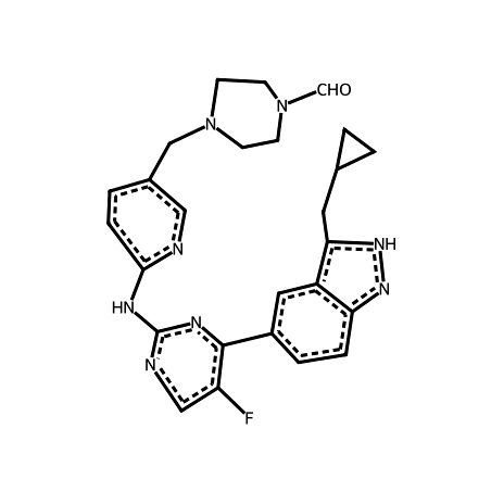 O=CN1CCN(Cc2ccc(Nc3ncc(F)c(-c4ccc5n[nH]c(CC6CC6)c5c4)n3)nc2)CC1